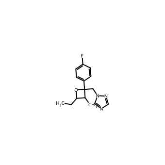 CCC1OC(Cn2cncn2)(c2ccc(F)cc2)C1C